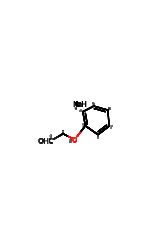 O=CCOc1ccccc1.[NaH]